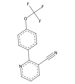 N#Cc1cccnc1-c1ccc(OC(F)(F)F)cc1